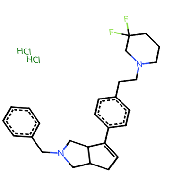 Cl.Cl.FC1(F)CCCN(CCc2ccc(C3=CCC4CN(Cc5ccccc5)CC34)cc2)C1